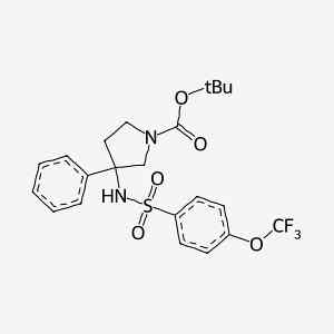 CC(C)(C)OC(=O)N1CCC(NS(=O)(=O)c2ccc(OC(F)(F)F)cc2)(c2ccccc2)C1